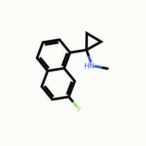 CNC1(c2cccc3ccc(F)cc23)CC1